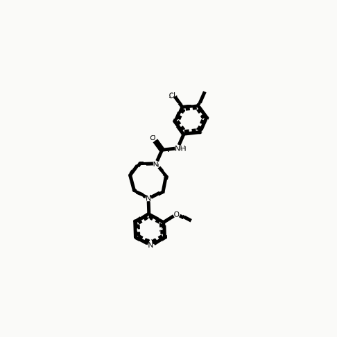 COc1cnccc1N1CCCN(C(=O)Nc2ccc(C)c(Cl)c2)CC1